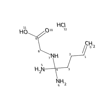 C=CCCC(N)(N)NCC(=O)O.Cl